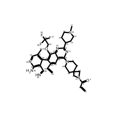 C=CC(=O)N1CC2(CCN(c3nc(C4CCN(C)CC4)nc4c(OCC(F)(F)F)c(-c5c(C)cnc(N)c5C=N)c(C=C)cc34)CC2)C1